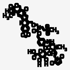 CC[C@]1(O)C(=O)OCc2c1cc1n(c2=O)Cc2c-1nc1cc3c(cc1c2COCN(CCS(C)(=O)=O)C(=O)OCc1ccc(O[C@H]2OC(C(=O)O)[C@@H](O)C(O)C2O)c(NC(=O)CN(C)C(=O)CCN2C(=O)C=CC2=O)c1)OCO3